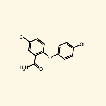 NC(=O)c1cc(Cl)ccc1Oc1ccc(O)cc1